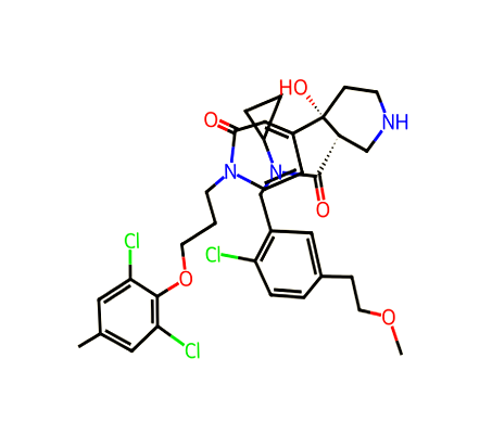 COCCc1ccc(Cl)c(CN(C(=O)[C@H]2CNCC[C@]2(O)c2ccn(CCCOc3c(Cl)cc(C)cc3Cl)c(=O)c2)C2CC2)c1